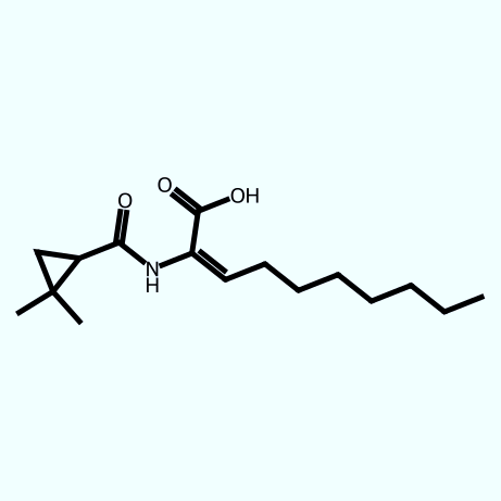 CCCCCCC/C=C(/NC(=O)C1CC1(C)C)C(=O)O